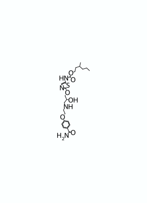 CCCC(C)CCOC(=O)Nc1cnc(OCC(O)CNCCOc2ccc(C(N)=O)cc2)s1